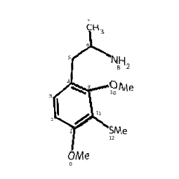 COc1ccc(CC(C)N)c(OC)c1SC